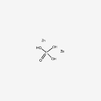 O=P(O)(O)O.[Zn].[Zn]